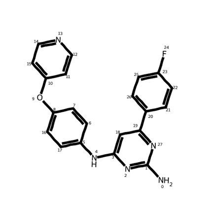 Nc1nc(Nc2ccc(Oc3ccncc3)cc2)cc(-c2ccc(F)cc2)n1